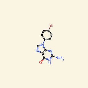 Nc1nc2c(ncn2-c2ccc(Br)cc2)c(=O)[nH]1